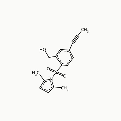 CC#Cc1ccc(S(=O)(=O)n2c(C)ccc2C)c(CO)c1